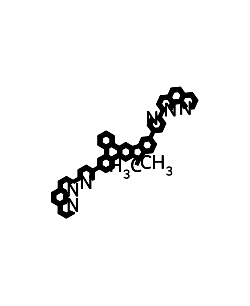 CC1(C)c2ccc(-c3ccc(-c4ccc5ccc6cccnc6c5n4)nc3)cc2-c2cc3c4ccccc4c4cc(-c5ccc(-c6ccc7ccc8cccnc8c7n6)nc5)ccc4c3cc21